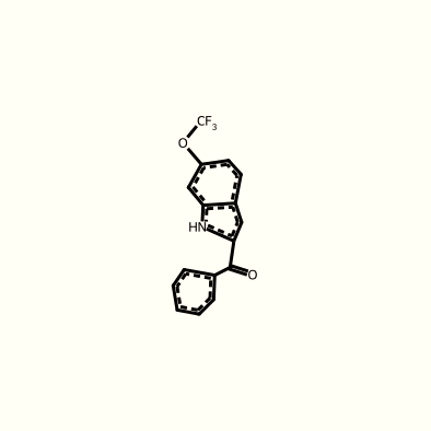 O=C(c1ccccc1)c1cc2ccc(OC(F)(F)F)cc2[nH]1